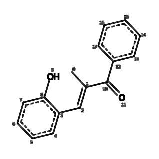 CC(=Cc1ccccc1O)C(=O)c1ccccc1